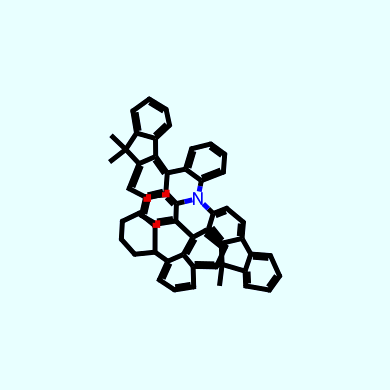 CC1(C)c2ccccc2-c2ccc(N(c3ccccc3-c3cccc4c3-c3ccccc3C4(C)C)c3ccccc3-c3cccc4cccc(C5CCCCC5)c34)cc21